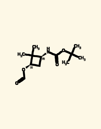 CC(C)(C)OC(=O)N[C@@H]1C[C@H](OC=O)C1(C)C